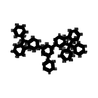 c1ccc(-c2cc(-c3ccc4c(c3)C(c3ccccc3)(c3ccccc3)c3ccccc3-4)cc(-c3ccc4c(c3)-c3ccccc3C4c3ccccc3)n2)cc1